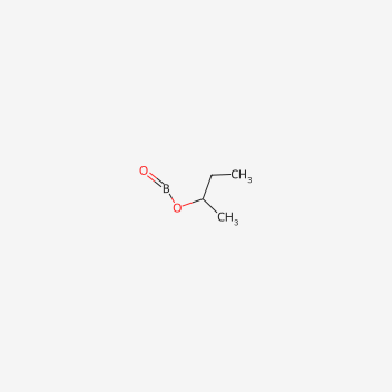 CCC(C)OB=O